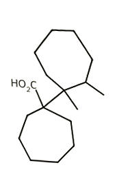 CC1CCCCCC1(C)C1(C(=O)O)CCCCCC1